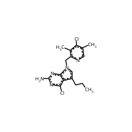 CCCc1cn(Cc2ncc(C)c(Cl)c2C)c2nc(N)nc(Cl)c12